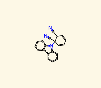 N#CC1C=CC=CC1(C#N)n1c2ccccc2c2ccccc21